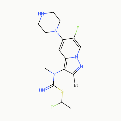 CCc1nn2cc(F)c(N3CCNCC3)cc2c1N(C)C(=N)SC(C)F